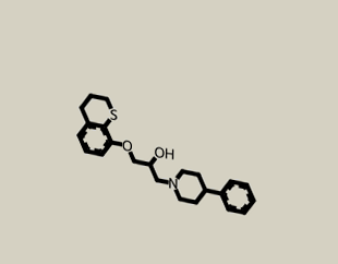 OC(COc1cccc2c1SCCC2)CN1CCC(c2ccccc2)CC1